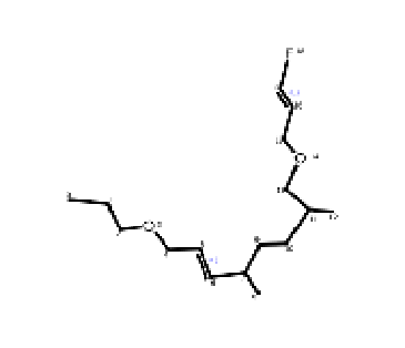 CCCOC/C=C/C(C)CCC(C)COC/C=C/F